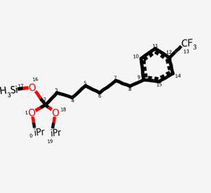 CC(C)OC(CCCCCCc1ccc(C(F)(F)F)cc1)(O[SiH3])OC(C)C